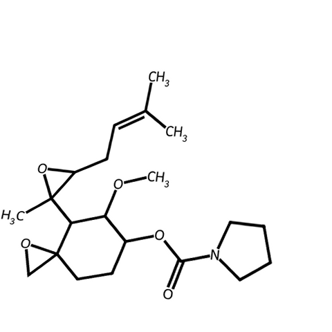 COC1C(OC(=O)N2CCCC2)CCC2(CO2)C1C1(C)OC1CC=C(C)C